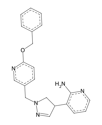 Nc1ncccc1C1C=NN(Cc2ccc(OCc3ccccc3)nc2)C1